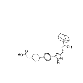 O=C(O)CC1CCC(c2ccc(-c3cc(OCC(O)C45CC6CC(CC(C6)C4)C5)n[nH]3)cc2)CC1